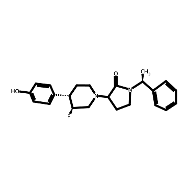 C[C@@H](c1ccccc1)N1CCC(N2CC[C@@H](c3ccc(O)cc3)[C@H](F)C2)C1=O